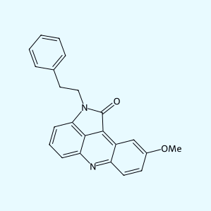 COc1ccc2nc3cccc4c3c(c2c1)C(=O)N4CCc1ccccc1